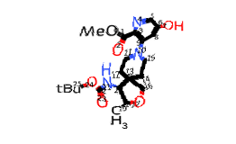 COC(=O)c1ncc(O)cc1N1CCC2(CC1)CO[C@@H](C)[C@H]2NC(=O)OC(C)(C)C